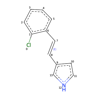 Clc1ccccc1/C=C/c1cc[nH]c1